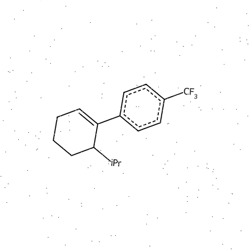 CC(C)C1CCCC=C1c1ccc(C(F)(F)F)cc1